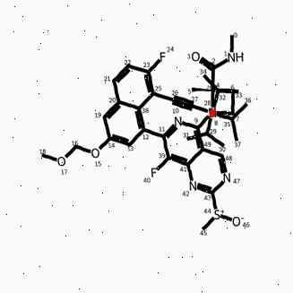 CNC(=O)[C@]1(C)CCN1c1nc(-c2cc(OCOC)cc3ccc(F)c(C#C[Si](C(C)C)(C(C)C)C(C)C)c23)c(F)c2nc([S+](C)[O-])ncc12